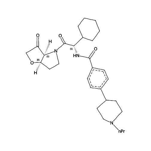 CCCN1CCC(c2ccc(C(=O)N[C@H](C(=O)N3CC[C@H]4OCC(=O)[C@H]43)C3CCCCC3)cc2)CC1